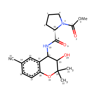 COC(=O)N1CCC[C@H]1C(=O)NC1c2cc(C#N)ccc2OC(C)(C)C1O